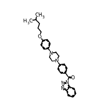 CC(C)CCCOc1ccc(N2CCN(c3ccc(C(=O)n4nnc5ccccc54)cc3)CC2)cc1